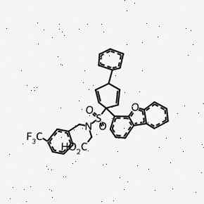 O=C(O)CN(Cc1cccc(C(F)(F)F)c1)S(=O)(=O)C1(c2cccc3c2oc2ccccc23)C=CC(c2ccccc2)C=C1